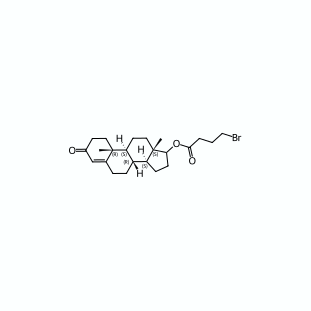 C[C@]12CCC(=O)C=C1CC[C@@H]1[C@@H]2CC[C@]2(C)C(OC(=O)CCCBr)CC[C@@H]12